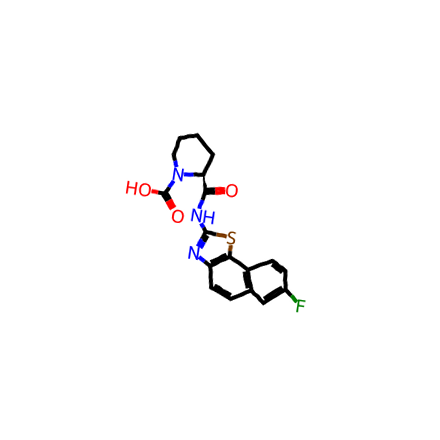 O=C(Nc1nc2ccc3cc(F)ccc3c2s1)[C@@H]1CCCCN1C(=O)O